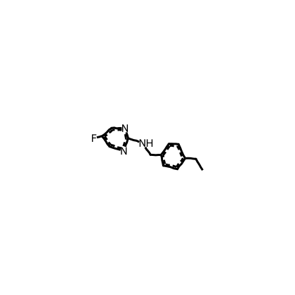 CCc1ccc(CNc2ncc(F)cn2)cc1